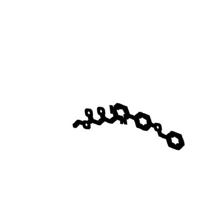 CCOC(=O)CC(=O)Cc1nccc(-c2ccc(OCc3ccccc3)cc2)n1